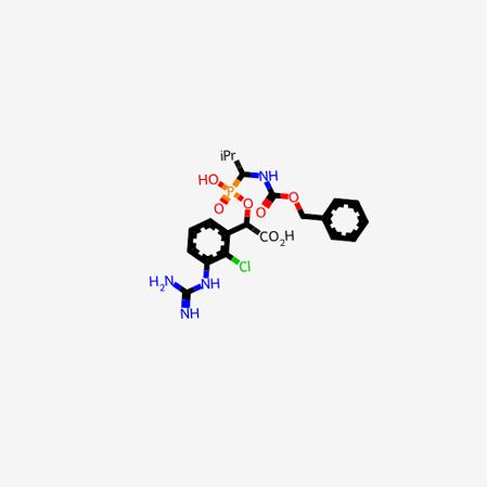 CC(C)C(NC(=O)OCc1ccccc1)P(=O)(O)OC(C(=O)O)c1cccc(NC(=N)N)c1Cl